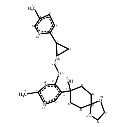 Cc1ccc(C2C[C@@H]2COc2nc(C)ncc2C2(O)CCC3(CC2)OCCO3)nc1